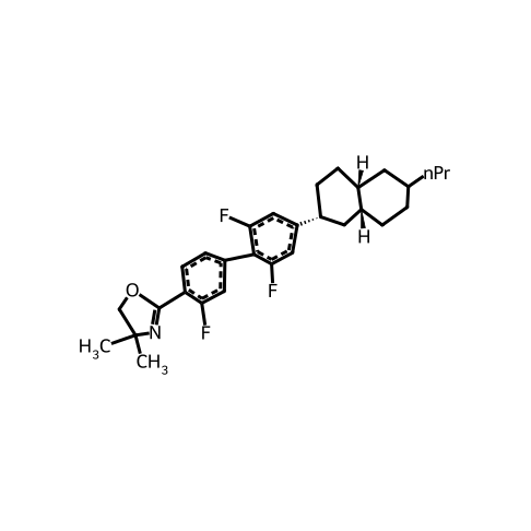 CCCC1CC[C@@H]2C[C@H](c3cc(F)c(-c4ccc(C5=NC(C)(C)CO5)c(F)c4)c(F)c3)CC[C@@H]2C1